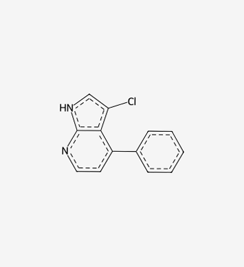 Clc1c[nH]c2nccc(-c3ccccc3)c12